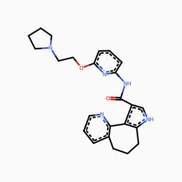 O=C(Nc1cccc(OCCN2CCCC2)n1)c1c[nH]c2c1-c1ncccc1CCC2